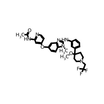 COC1(c2cccc(Nc3nc4cc(Oc5ccnc(NC(C)=O)c5)ccc4n3C)c2)CCN(CC(F)(F)F)CC1